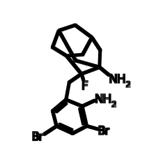 Nc1c(Br)cc(Br)cc1CC1(F)C2CC3CC(C2)CC1(N)C3